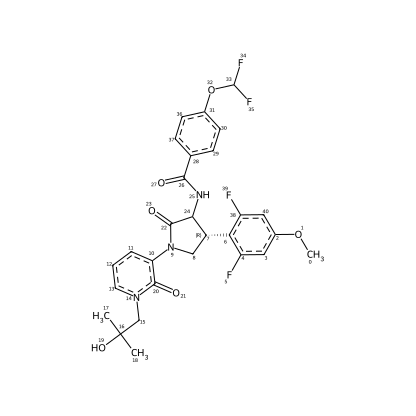 COc1cc(F)c([C@@H]2CN(c3cccn(CC(C)(C)O)c3=O)C(=O)C2NC(=O)c2ccc(OC(F)F)cc2)c(F)c1